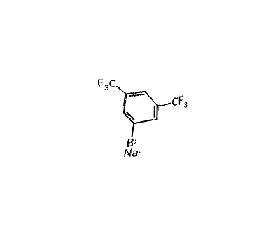 [B]c1cc(C(F)(F)F)cc(C(F)(F)F)c1.[Na]